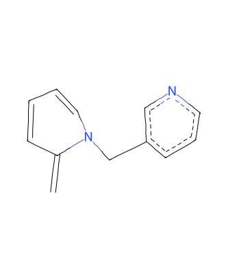 C=C1C=CC=CN1Cc1cccnc1